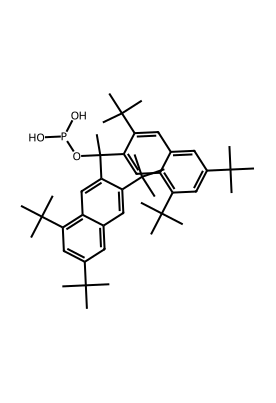 CC(C)(C)c1cc(C(C)(C)C)c2cc(C(C)(OP(O)O)c3cc4c(C(C)(C)C)cc(C(C)(C)C)cc4cc3C(C)(C)C)c(C(C)(C)C)cc2c1